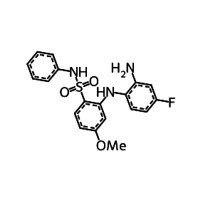 COc1ccc(S(=O)(=O)Nc2ccccc2)c(Nc2ccc(F)cc2N)c1